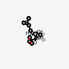 CC1C2=C3C(C)C4=C1C(C)(c1ccccc1)C=CC4(C)N(c1ccc(-c4ccc5c(c4)c4ccccc4n5-c4ccccc4)cc1)c1cccc(c1)C3(c1ccccc1)c1ccccc1O2